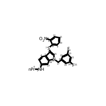 CCCNc1ccc2c(Sc3ccccc3[N+](=O)[O-])cn(Cc3cc(F)cc(F)c3)c2c1